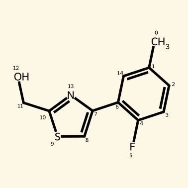 Cc1ccc(F)c(-c2csc(CO)n2)c1